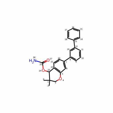 CC1(C)COc2cc(-c3cccc(-c4ccccc4)c3)ccc2C1OC(N)=O